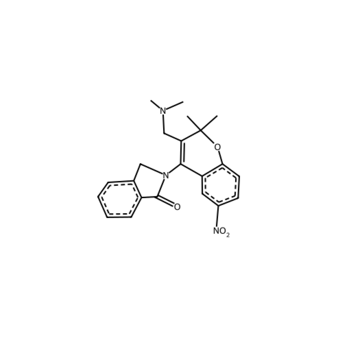 CN(C)CC1=C(N2Cc3ccccc3C2=O)c2cc([N+](=O)[O-])ccc2OC1(C)C